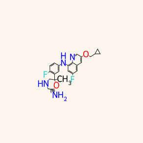 CC1(c2cc(Nc3cc(F)cc4cc(OCC5CC5)cnc34)ccc2F)CNC[C@H](N)O1